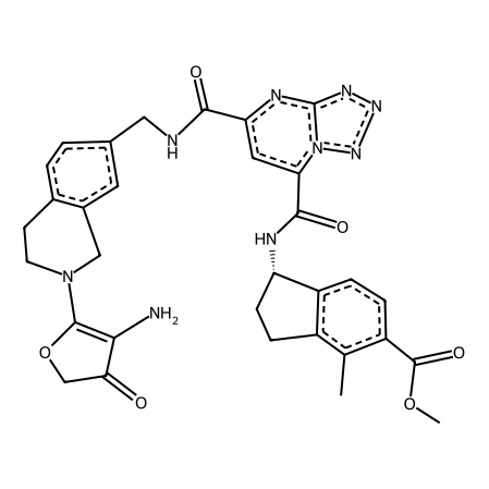 COC(=O)c1ccc2c(c1C)CC[C@@H]2NC(=O)c1cc(C(=O)NCc2ccc3c(c2)CN(C2=C(N)C(=O)CO2)CC3)nc2nnnn12